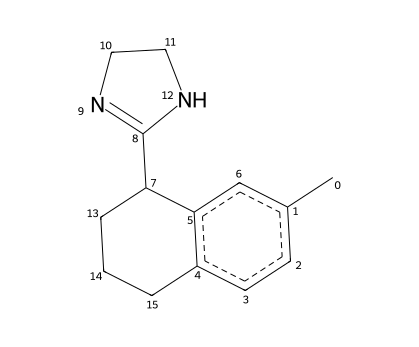 Cc1ccc2c(c1)C(C1=NCCN1)CCC2